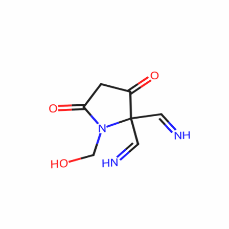 N=CC1(C=N)C(=O)CC(=O)N1CO